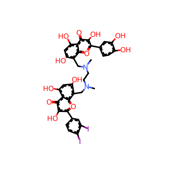 CN(CCN(C)Cc1c(O)cc(O)c2c(=O)c(O)c(-c3ccc(I)c(I)c3)oc12)Cc1c(O)cc(O)c2c(=O)c(O)c(-c3ccc(O)c(O)c3)oc12